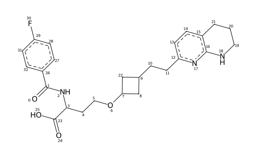 O=C(NC(CCOC1CC(CCc2ccc3c(n2)NCCC3)C1)C(=O)O)c1ccc(F)cc1